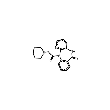 O=C1Nc2cccnc2N(C(=O)CN2CC[CH]CC2)c2ccccc21